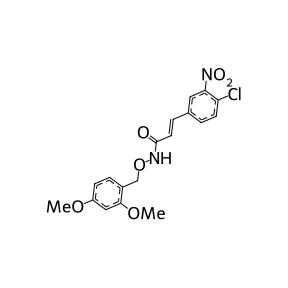 COc1ccc(CONC(=O)/C=C/c2ccc(Cl)c([N+](=O)[O-])c2)c(OC)c1